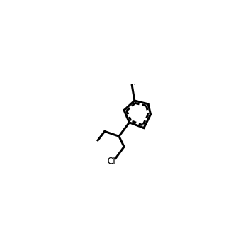 [CH2]c1cccc(C(CC)CCl)c1